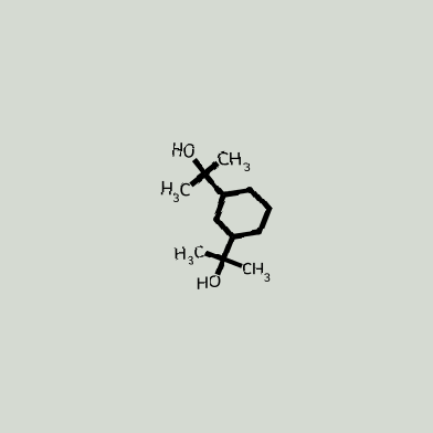 CC(C)(O)C1CCCC(C(C)(C)O)C1